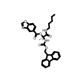 CCCCCNC(=O)[C@@](C)(NC(=O)OCC1c2ccccc2-c2ccccc21)OC(=O)c1ccc2ocnc2c1